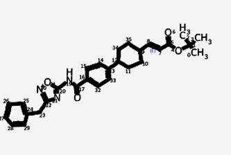 CC(C)(C)OC(=O)/C=C/C1CCC(c2ccc(C(=O)Nc3nc(Cc4ccccc4)no3)cc2)CC1